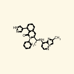 Cc1cn2nccc(N[C@@H](C)c3cc4cccc(-c5cn[nH]c5)c4c(=O)n3-c3ccccc3)c2n1